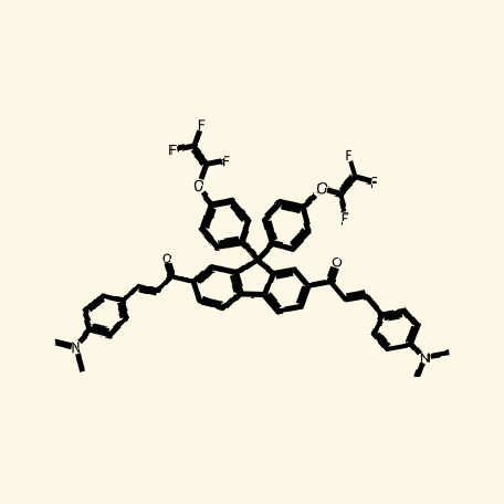 CN(C)c1ccc(C=CC(=O)c2ccc3c(c2)C(c2ccc(OC(F)=C(F)F)cc2)(c2ccc(OC(F)=C(F)F)cc2)c2cc(C(=O)C=Cc4ccc(N(C)C)cc4)ccc2-3)cc1